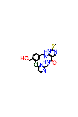 CSc1ncc(C(=O)NCc2ncccn2)c(NCc2ccc(CO)c(Cl)c2)n1